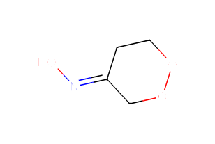 ON=C1CCOOC1